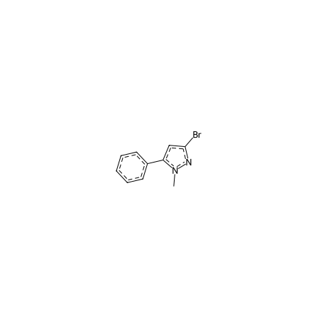 Cn1nc(Br)cc1-c1ccccc1